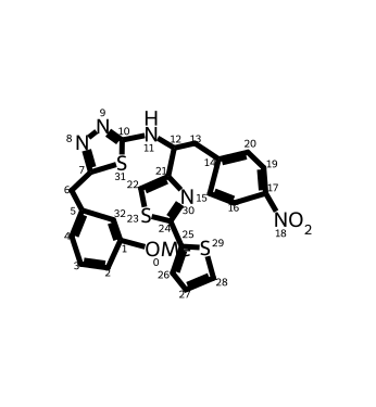 COc1cccc(Cc2nnc(NC(Cc3ccc([N+](=O)[O-])cc3)c3csc(-c4cccs4)n3)s2)c1